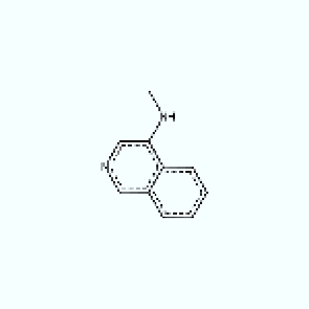 CNc1cncc2ccccc12